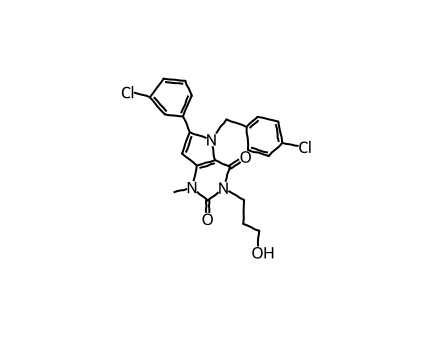 Cn1c(=O)n(CCCO)c(=O)c2c1cc(-c1cccc(Cl)c1)n2Cc1ccc(Cl)cc1